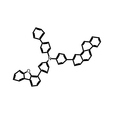 c1ccc(-c2ccc(N(c3ccc(-c4ccc5ccc6c7ccccc7ccc6c5c4)cc3)c3ccc(-c4cccc5c4oc4ccccc45)cc3)cc2)cc1